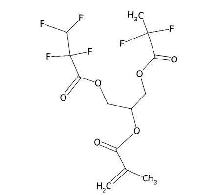 C=C(C)C(=O)OC(COC(=O)C(C)(F)F)COC(=O)C(F)(F)C(F)F